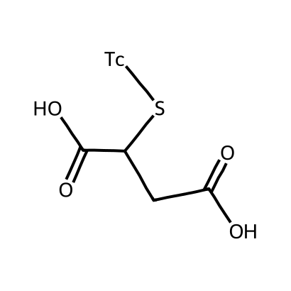 O=C(O)CC([S][Tc])C(=O)O